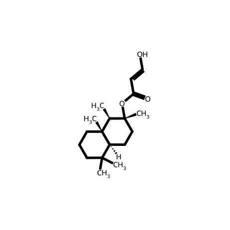 C[C@@H]1[C@@]2(C)CCCC(C)(C)[C@@H]2CC[C@@]1(C)OC(=O)/C=C/O